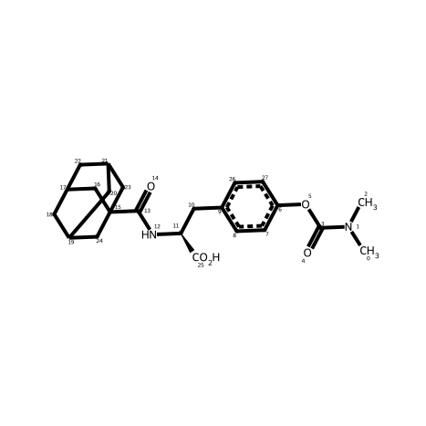 CN(C)C(=O)Oc1ccc(C[C@H](NC(=O)C23CC4CC(CC(C4)C2)C3)C(=O)O)cc1